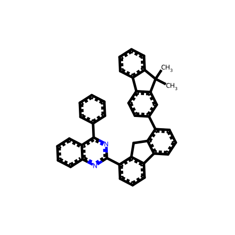 CC1(C)c2ccccc2-c2ccc(-c3cccc4c3Cc3c(-c5nc(-c6ccccc6)c6ccccc6n5)cccc3-4)cc21